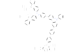 CC(C)CC(c1ccc(-c2ccc(-c3ccc4c(c3)c3cc(-c5ccc(N(c6ccc7c(c6)C(C)(C)c6ccccc6-7)c6ccc7c(c6)C(C)(C)c6ccccc6-7)cc5)ccc3n4-c3ccccc3)cc2)cc1)C(C)(C)C